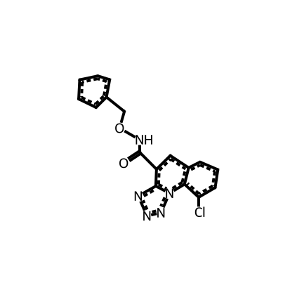 O=C(NOCc1ccccc1)c1cc2cccc(Cl)c2n2nnnc12